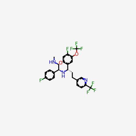 CNC(=O)[C@@H](N[C@@H](CCc1ccc(C(F)(F)F)nc1)c1ccc(F)c(OC(F)(F)F)c1)c1ccc(F)cc1